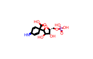 N=C1C=CC(C(=O)O)(C2O[C@H](COP(=O)(O)O)[C@@H](O)C2O)C=C1